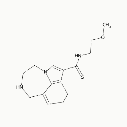 COCCNC(=S)c1cn2c3c1CCC=C3CNCC2